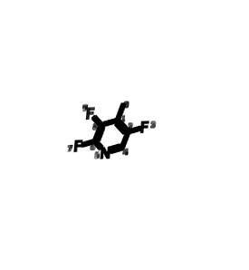 Cc1c(F)cnc(F)c1F